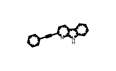 C(#Cc1ccc2c(n1)[nH]c1ccccc12)c1ccccc1